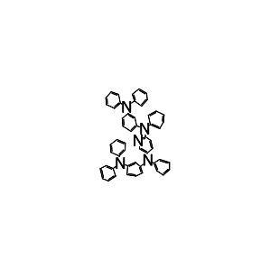 c1ccc(N(c2ccccc2)c2cccc(N(c3ccccc3)c3ccc(N(c4ccccc4)c4cccc(N(c5ccccc5)c5ccccc5)c4)nc3)c2)cc1